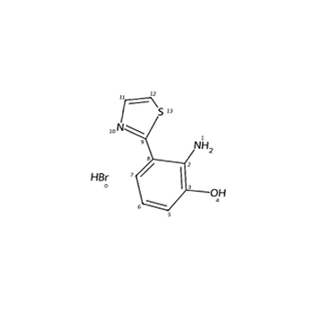 Br.Nc1c(O)cccc1-c1nccs1